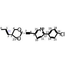 C/C=C/[C@H]1CO[C@H](C#Cc2ccc(-c3ccc(Cl)cc3)nc2)OC1